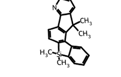 CC1(C)c2cccnc2-c2ccc3c(c21)-c1ccccc1[Si]3(C)C